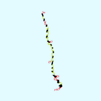 O=C(CSCSCSCC[S+]([O-])CSCSCSCSC(=O)CSCSCSCCOOCCSCCO)OCCSCCO